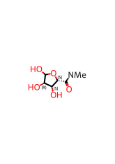 CNC(=O)[C@H]1OC(O)[C@H](O)[C@@H]1O